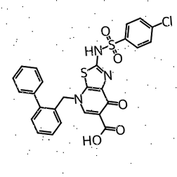 O=C(O)c1cn(Cc2ccccc2-c2ccccc2)c2sc(NS(=O)(=O)c3ccc(Cl)cc3)nc2c1=O